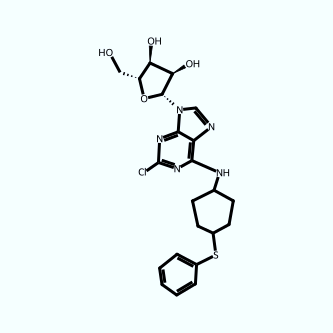 OC[C@H]1O[C@@H](n2cnc3c(NC4CCC(Sc5ccccc5)CC4)nc(Cl)nc32)[C@H](O)[C@@H]1O